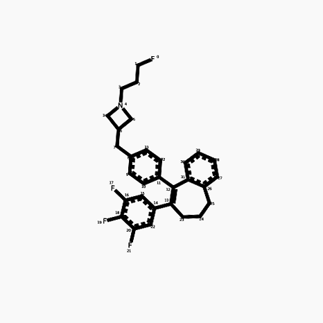 FCCCN1CC(Cc2ccc(C3=C(c4cc(F)c(F)c(F)c4)CCCc4ccccc43)cc2)C1